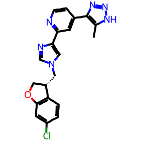 Cc1[nH]nnc1-c1ccnc(-c2cn(C[C@H]3COc4cc(Cl)ccc43)cn2)c1